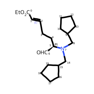 CCOC(=O)/C=C/CC[C@H](C=O)N(CC1CCCC1)CC1CCCC1